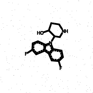 OC1CCNCC1n1c2ccc(F)cc2c2cc(F)ccc21